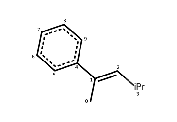 CC(=CC(C)C)c1ccccc1